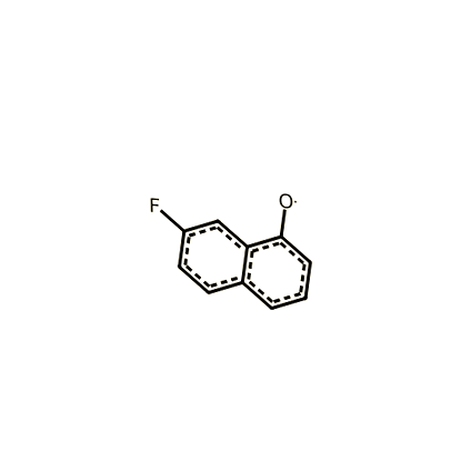 [O]c1cccc2ccc(F)cc12